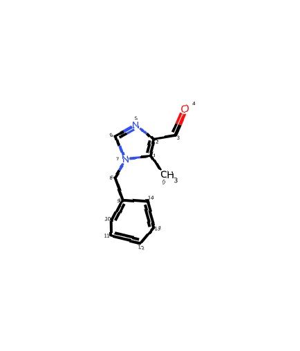 Cc1c(C=O)ncn1Cc1ccccc1